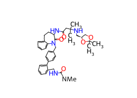 CNC(=O)NCc1ccccc1-c1ccc(CN2C(=O)[C@H](NC(=O)CC(C)(C)NC[C@H]3COC(C)(C)O3)CCc3ccccc32)cc1